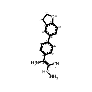 N#C/C(NN)=C(/N)c1ccc(-c2ccc3c(c2)CCO3)cc1